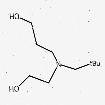 CC(C)(C)CN(CCO)CCCO